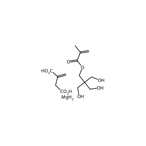 C=C(C)C(=O)OCC(CO)(CO)CO.C=C(CC(=O)O)C(=O)O.[MgH2]